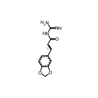 N=C(N)NC(=O)/C=C/c1ccc2c(c1)OCO2